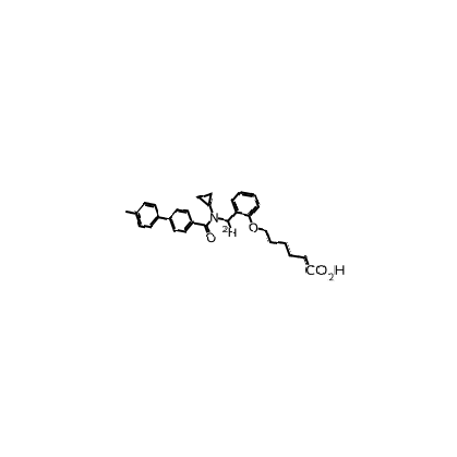 [2H]C(c1ccccc1OCCCCCC(=O)O)N(C(=O)c1ccc(-c2ccc(C)cc2)cc1)C1CC1